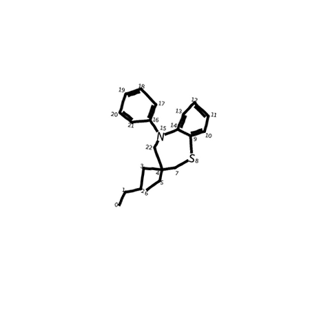 CCCCC1(CC)CSc2ccccc2N(c2ccccc2)C1